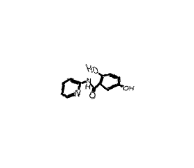 O=C(Nc1ccccn1)c1cc(O)ccc1O